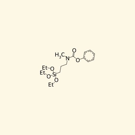 CCO[Si](CCCN(C)C(=O)Oc1ccccc1)(OCC)OCC